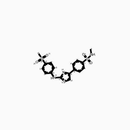 CNS(=O)(=O)c1ccc(-c2csc(Nc3ccc(S(C)(=O)=O)cc3)n2)cc1